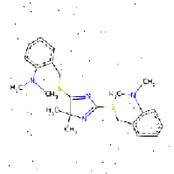 CN(C)c1ccccc1CSC1=NC(C)(C)C(SCc2ccccc2N(C)C)=N1